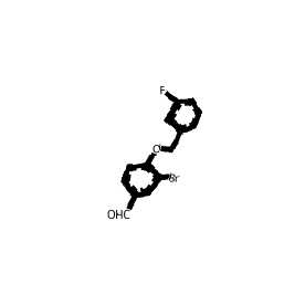 O=Cc1ccc(OCc2cccc(F)c2)c(Br)c1